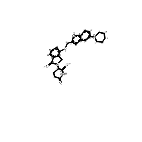 O=C1CCC(N2Cc3c(OCc4cc5cc(N6CCCCC6)ccc5o4)cccc3C2=O)C(=O)N1